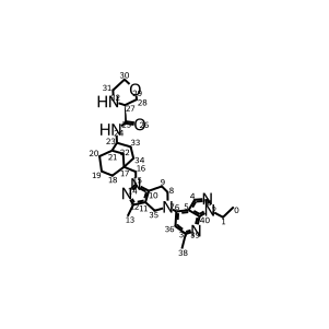 CCn1ncc2c(N3CCc4c(c(C)nn4CC45CCCC(C4)C(NC(=O)[C@@H]4COCCN4)CC5)C3)cc(C)nc21